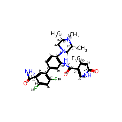 C[C@@H]1CN(c2ccc(-c3cc(C(N)=O)c(F)cc3F)cc2NC(=O)c2c[nH]c(=O)cc2C(F)(F)F)C[C@H](C)N1C